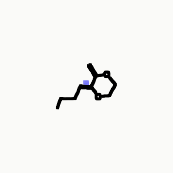 C=C1OCCO/C1=C\CCC